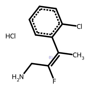 C/C(=C(\F)CN)c1ccccc1Cl.Cl